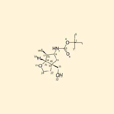 CC(C)(C)OC(=O)NC1C[C@]2(CO)CCO[C@@H]2[C@H]1I